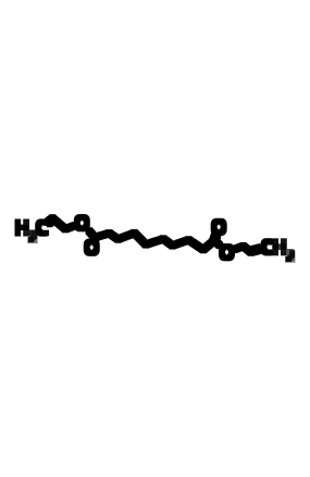 C=CCOC(=O)CCCCCCCCC(=O)OCC=C